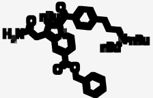 CCCCc1c(CC(N)=O)c2cc(C(=O)OCc3ccccc3)ccn2c1C(=O)c1ccc(CCCN(CCCC)CCCC)cc1